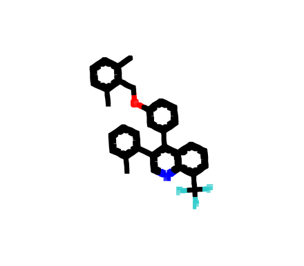 Cc1ccccc1-c1cnc2c(C(F)(F)F)cccc2c1-c1cccc(OCc2c(C)cccc2C)c1